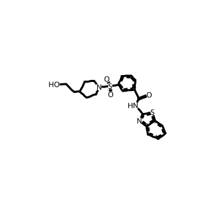 O=C(Nc1nc2ccccc2s1)c1cccc(S(=O)(=O)N2CCC(CCO)CC2)c1